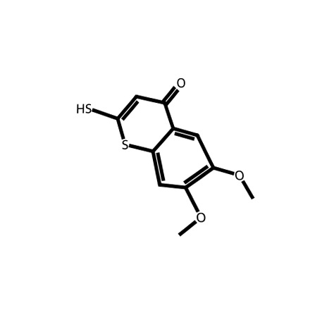 COc1cc2sc(S)cc(=O)c2cc1OC